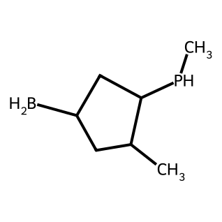 BC1CC(C)C(PC)C1